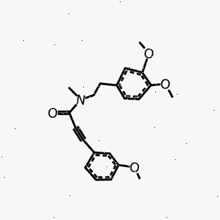 COc1cccc(C#CC(=O)N(C)CCc2ccc(OC)c(OC)c2)c1